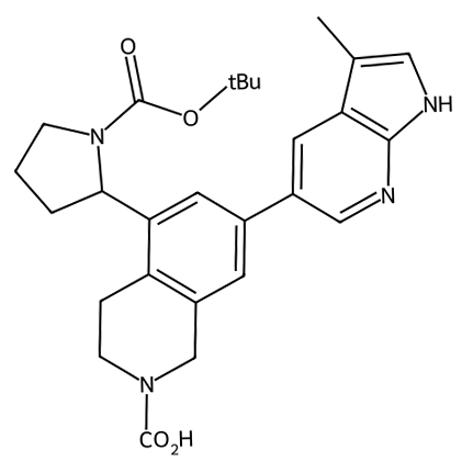 Cc1c[nH]c2ncc(-c3cc4c(c(C5CCCN5C(=O)OC(C)(C)C)c3)CCN(C(=O)O)C4)cc12